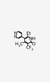 CCc1[nH]c(=O)c(C(F)(F)F)c(C)c1-c1ccnnc1